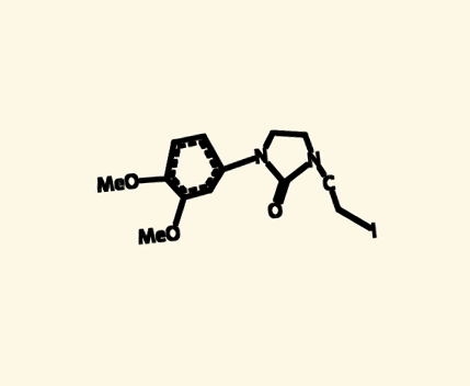 COc1ccc(N2CCN(CCI)C2=O)cc1OC